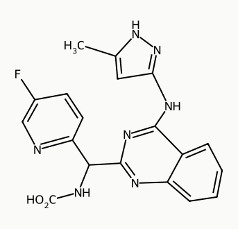 Cc1cc(Nc2nc(C(NC(=O)O)c3ccc(F)cn3)nc3ccccc23)n[nH]1